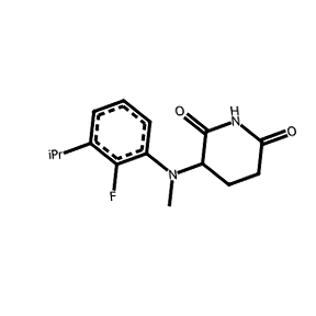 CC(C)c1cccc(N(C)C2CCC(=O)NC2=O)c1F